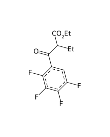 CCOC(=O)C(CC)C(=O)c1cc(F)c(F)c(F)c1F